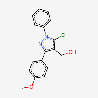 COc1ccc(-c2nn(-c3ccccc3)c(Cl)c2CO)cc1